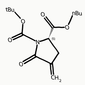 C=C1C[C@@H](C(=O)OCCCC)N(C(=O)OC(C)(C)C)C1=O